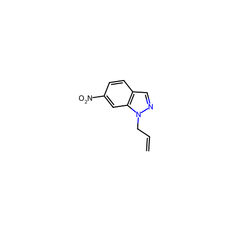 C=CCn1ncc2ccc([N+](=O)[O-])cc21